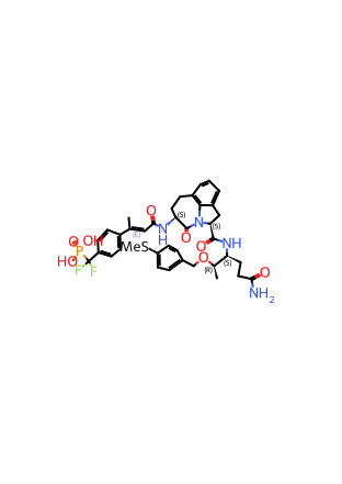 CSc1ccc(CO[C@H](C)[C@H](CCC(N)=O)NC(=O)[C@@H]2Cc3cccc4c3N2C(=O)[C@@H](NC(=O)/C=C(\C)c2ccc(C(F)(F)P(=O)(O)O)cc2)CC4)cc1